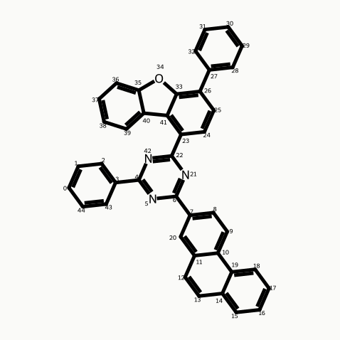 c1ccc(-c2nc(-c3ccc4c(ccc5ccccc54)c3)nc(-c3ccc(-c4ccccc4)c4oc5ccccc5c34)n2)cc1